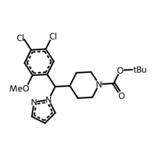 COc1cc(Cl)c(Cl)cc1C(C1CCN(C(=O)OC(C)(C)C)CC1)n1cccn1